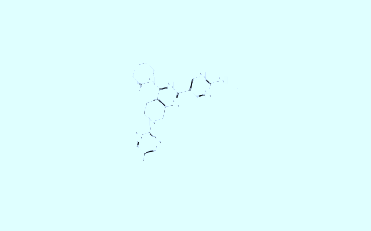 C[C@H]1COCCN1c1nc(-c2cnc(N)nc2)nc2c1CCN(c1ncc(F)cn1)C2